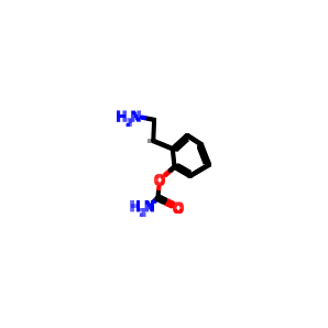 NC[CH]c1ccccc1OC(N)=O